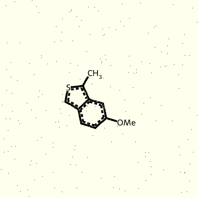 COc1ccc2[c]sc(C)c2c1